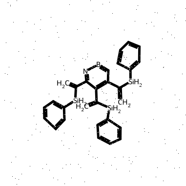 C=C([SiH2]c1ccccc1)c1cbnc(C(=C)[SiH2]c2ccccc2)c1C(=C)[SiH2]c1ccccc1